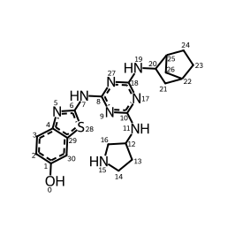 Oc1ccc2nc(Nc3nc(NC4CCNC4)nc(NC4CC5CCC4C5)n3)sc2c1